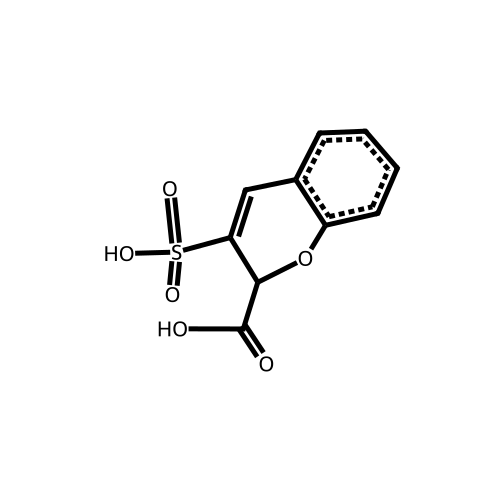 O=C(O)C1Oc2ccccc2C=C1S(=O)(=O)O